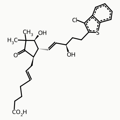 CC1(C)C(=O)[C@H](CC=CCCCC(=O)O)[C@@H](C=C[C@H](O)CCc2sc3ccccc3c2Cl)[C@@H]1O